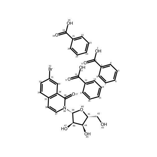 O=C(O)c1ccccc1.O=C(O)c1ccccc1.O=C(O)c1ccccc1.O=c1c2cc(Br)ccc2ccn1[C@@H]1O[C@H](CO)[C@@H](O)[C@H]1O